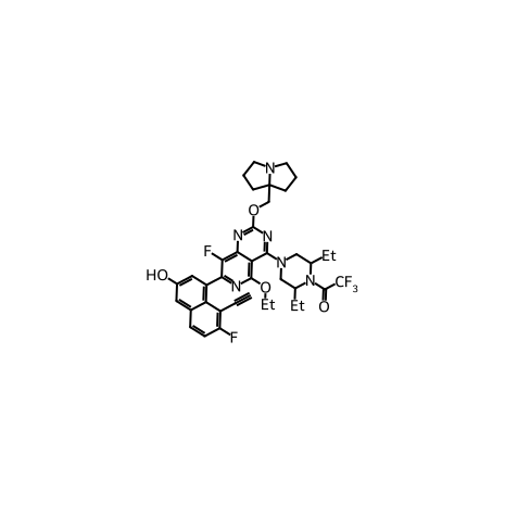 C#Cc1c(F)ccc2cc(O)cc(-c3nc(OCC)c4c(N5CC(CC)N(C(=O)C(F)(F)F)C(CC)C5)nc(OCC56CCCN5CCC6)nc4c3F)c12